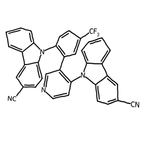 N#Cc1ccc2c(c1)c1ccccc1n2-c1ccncc1-c1cc(C(F)(F)F)ccc1-n1c2ccccc2c2cc(C#N)ccc21